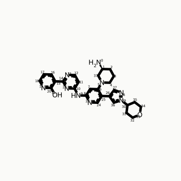 N[C@H]1CCCN(c2cc(Nc3ccnc(-c4cccnc4O)n3)ncc2-c2cnn(C3CCOCC3)c2)C1